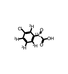 [2H]c1c([2H])c(Cl)c([2H])c([13C](=O)C(=O)O)c1[2H]